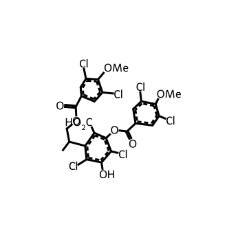 COc1c(Cl)cc(C(=O)OCC(C)c2c(Cl)c(O)c(Cl)c(OC(=O)c3cc(Cl)c(OC)c(Cl)c3)c2C(=O)O)cc1Cl